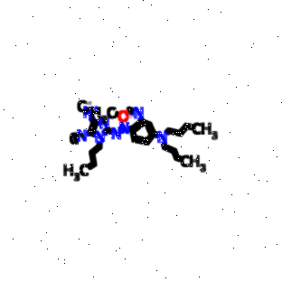 [C-]#[N+]c1nc(N=Nc2ccc(N(CCCC)CCCC)cc2/N=C\OC)n(CCCC)c1[N+]#[C-]